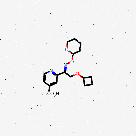 O=C(O)c1ccnc(/C(COC2CCC2)=N/OC2CCCCO2)c1